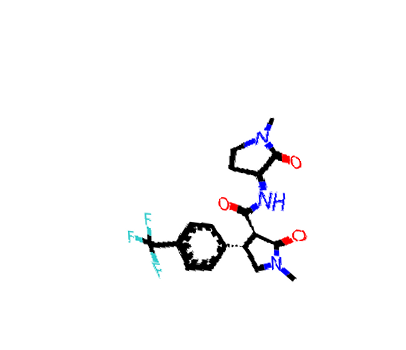 CN1CCC(NC(=O)[C@H]2C(=O)N(C)C[C@@H]2c2ccc(C(F)(F)F)cc2)C1=O